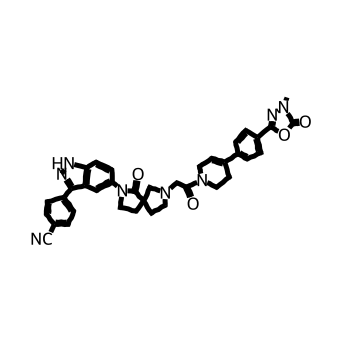 Cn1nc(-c2ccc(C3=CCN(C(=O)CN4CCC5(CCN(c6ccc7[nH]nc(-c8ccc(C#N)cc8)c7c6)C5=O)C4)CC3)cc2)oc1=O